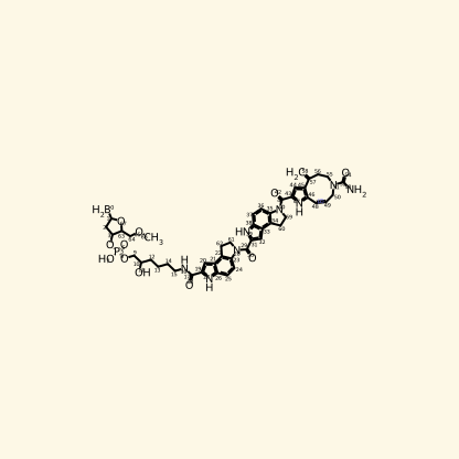 BC1CC(OP(=O)(O)OCC(O)CCCCNC(=O)c2cc3c4c(ccc3[nH]2)N(C(=O)c2cc3c5c(ccc3[nH]2)N(C(=O)c2cc3c([nH]2)/C=C\CN(C(N)=O)CCC3=C)CC5)CC4)C(COC)O1